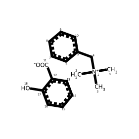 C[N+](C)(C)Cc1ccccc1.O=C([O-])c1ccccc1O